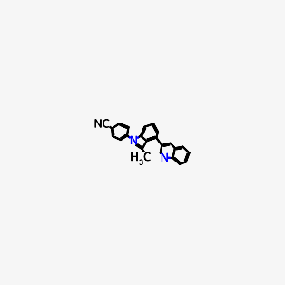 Cc1cn(-c2ccc(C#N)cc2)c2cccc(-c3cnc4ccccc4c3)c12